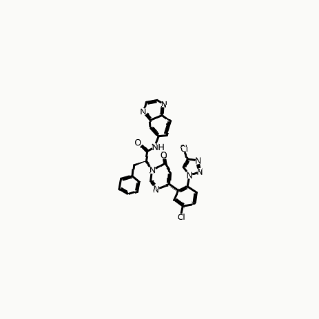 O=C(Nc1ccc2nccnc2c1)[C@H](Cc1ccccc1)n1cnc(-c2cc(Cl)ccc2-n2cc(Cl)nn2)cc1=O